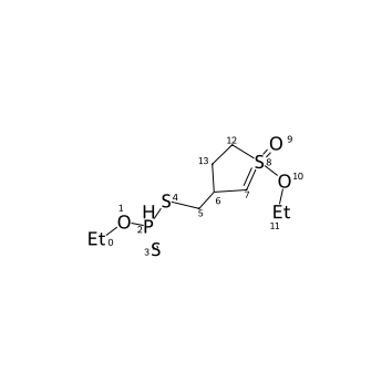 CCO[PH](=S)SCC1C=S(=O)(OCC)CC1